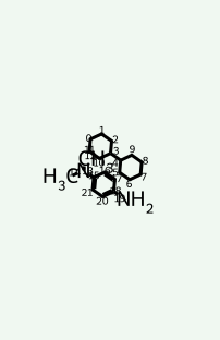 C1CCC(C2CCCCC2)CC1.CN(C)c1ccc(N)cc1